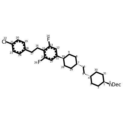 CCCCCCCCCC[C@H]1CC[C@H](CC[C@H]2CC[C@H](c3cc(F)c(CCc4ccc(Cl)cc4)c(F)c3)CC2)CC1